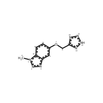 Cn1nnc2cc(OCc3nn[nH]n3)ccc21